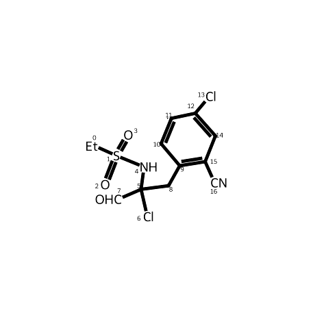 CCS(=O)(=O)NC(Cl)(C=O)Cc1c[c]c(Cl)cc1C#N